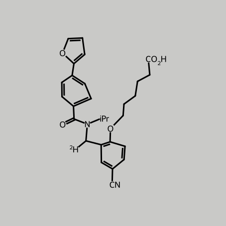 [2H]C(c1cc(C#N)ccc1OCCCCCC(=O)O)N(C(=O)c1ccc(-c2ccco2)cc1)C(C)C